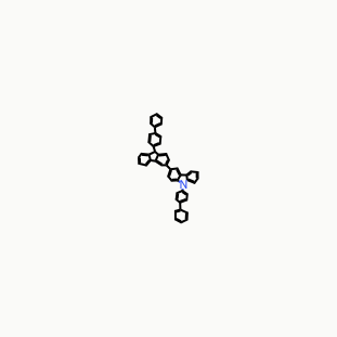 c1ccc(-c2ccc(C3c4ccccc4-c4cc(-c5ccc6c(c5)c5ccccc5n6-c5ccc(-c6ccccc6)cc5)ccc43)cc2)cc1